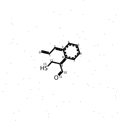 C=C/C=c1/cccc/c1=C(\C=O)CS